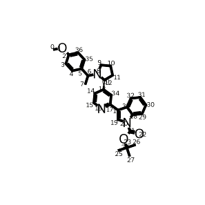 COc1ccc(C(C)N2CCC[C@H]2c2ccnc(-c3cn(C(=O)OC(C)(C)C)c4ccccc34)c2)cc1